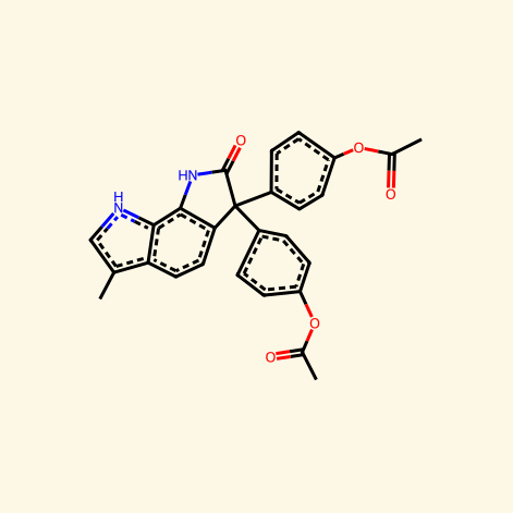 CC(=O)Oc1ccc(C2(c3ccc(OC(C)=O)cc3)C(=O)Nc3c2ccc2c(C)c[nH]c32)cc1